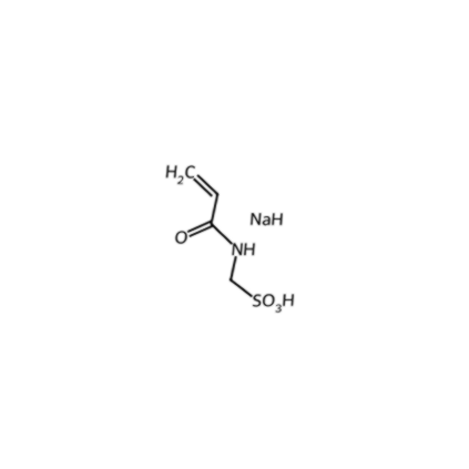 C=CC(=O)NCS(=O)(=O)O.[NaH]